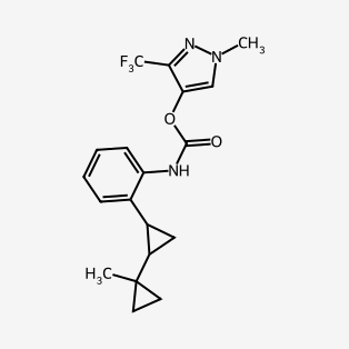 Cn1cc(OC(=O)Nc2ccccc2C2CC2C2(C)CC2)c(C(F)(F)F)n1